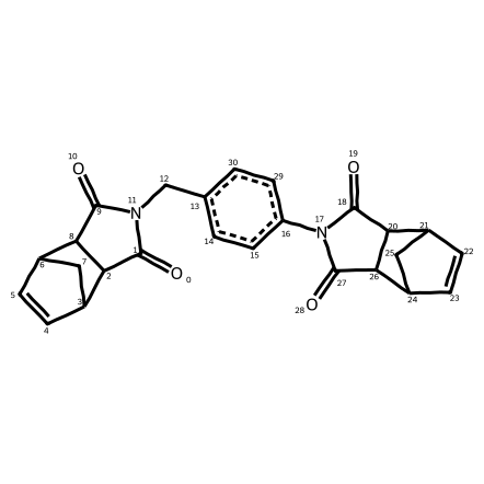 O=C1C2C3C=CC(C3)C2C(=O)N1Cc1ccc(N2C(=O)C3C4C=CC(C4)C3C2=O)cc1